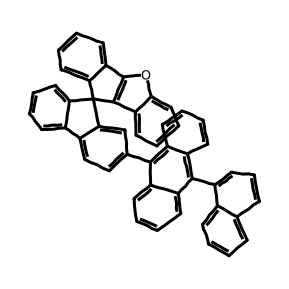 c1ccc2c(c1)-c1ccc(-c3c4ccccc4c(-c4cccc5ccccc45)c4ccccc34)cc1C21c2ccccc2-c2oc3ccccc3c21